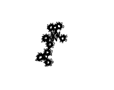 c1ccc(-c2nc(-n3c4ccccc4c4ccccc43)nc(-n3c4ccccc4c4cc(-c5ccc6c(c5)c5ccccc5n6-c5ccccc5)ccc43)n2)cc1